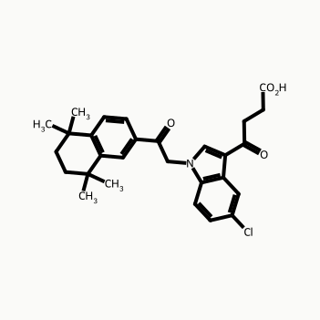 CC1(C)CCC(C)(C)c2cc(C(=O)Cn3cc(C(=O)CCC(=O)O)c4cc(Cl)ccc43)ccc21